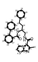 Cc1nc2sccn2c1C(=O)NCC(CCc1ccccc1)N(C)C(=O)c1ccccc1-c1ccccc1